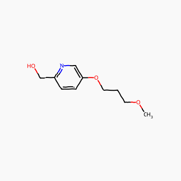 COCCCOc1ccc(CO)nc1